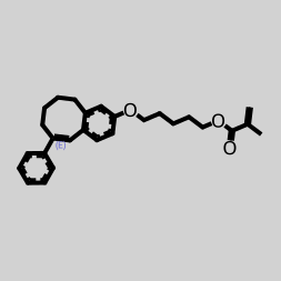 C=C(C)C(=O)OCCCCCOc1ccc2c(c1)CCCC/C(c1ccccc1)=C\2